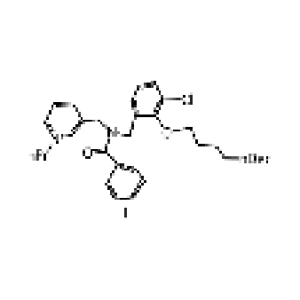 CCCCCCCCCCCCCCOc1c(Cl)cccc1CN(Cc1ccc[n+](CCC)c1)C(=O)c1ccccc1.[I-]